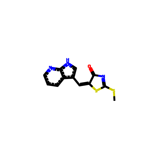 CSC1=NC(=O)/C(=C\c2c[nH]c3ncccc23)S1